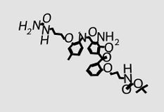 COc1c(C(=O)c2ccccc2OCCCNC(=O)OC(C)(C)C)ccc(C(=O)N(C)c2ccc(C)cc2OCCCCNC(N)=O)c1N